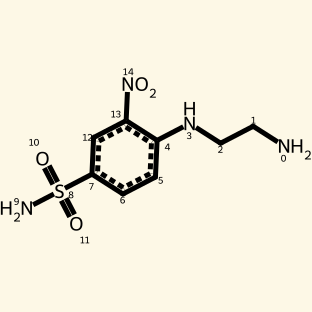 NCCNc1ccc(S(N)(=O)=O)cc1[N+](=O)[O-]